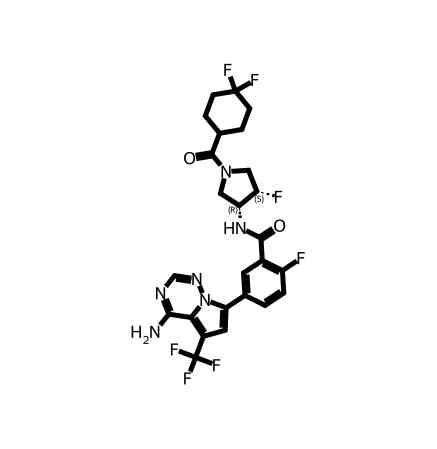 Nc1ncnn2c(-c3ccc(F)c(C(=O)N[C@@H]4CN(C(=O)C5CCC(F)(F)CC5)C[C@@H]4F)c3)cc(C(F)(F)F)c12